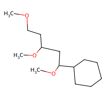 COCCC(CC(OC)C1CCCCC1)OC